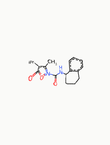 Cc1c(C(C)C)c(=O)on1C(=O)NC1CCCc2ccccc21